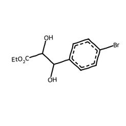 CCOC(=O)C(O)C(O)c1ccc(Br)cc1